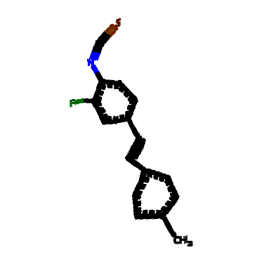 Cc1ccc(C=Cc2ccc(N=C=S)c(F)c2)cc1